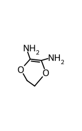 NC1=C(N)OCCO1